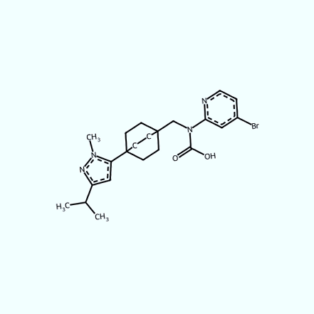 CC(C)c1cc(C23CCC(CN(C(=O)O)c4cc(Br)ccn4)(CC2)CC3)n(C)n1